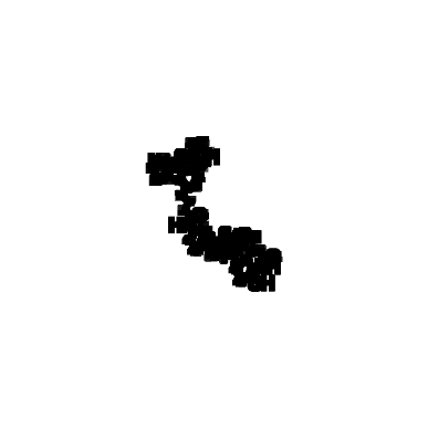 CC(C)(C)[Si](C)(C)O[C@@H](CNCc1ccc(NC(=O)CCCc2ccc(-c3ccccc3)c(N(C(=O)O)C3CN4CCC3CC4)c2)cc1)c1ccc(O)c2[nH]c(=O)ccc12